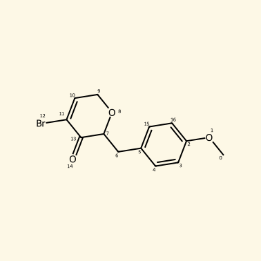 COc1ccc(CC2OCC=C(Br)C2=O)cc1